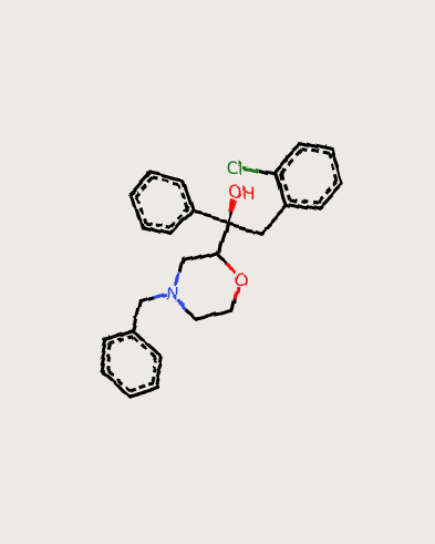 O[C@](Cc1ccccc1Cl)(c1ccccc1)C1CN(Cc2ccccc2)CCO1